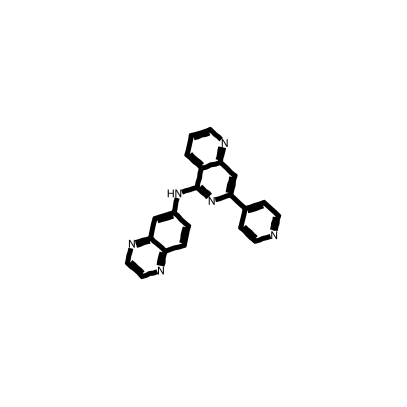 c1cnc2cc(-c3ccncc3)nc(Nc3ccc4nccnc4c3)c2c1